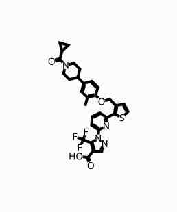 Cc1cc(C2CCN(C(=O)C3CC3)CC2)ccc1OCc1ccsc1-c1cccc(-n2ncc(C(=O)O)c2C(F)(F)F)n1